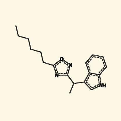 CCCCCCc1nc(C(C)c2c[nH]c3ccccc23)no1